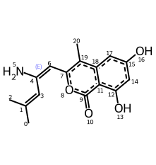 CC(C)=C/C(N)=C\c1oc(=O)c2c(O)cc(O)cc2c1C